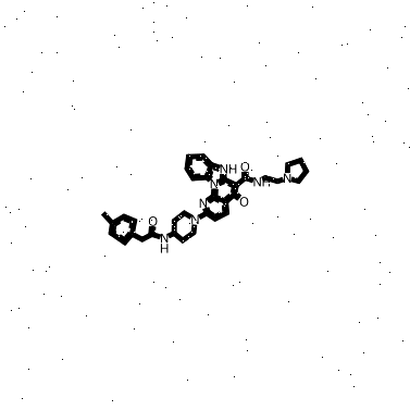 Cc1ccc(CC(=O)NC2CCN(c3ccc4c(=O)c(C(=O)NCCN5CCCC5)c5[nH]c6ccccc6n5c4n3)CC2)cc1